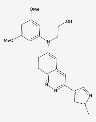 COc1cc(OC)cc(N(CCO)c2ccc3nnc(-c4cnn(C)c4)cc3c2)c1